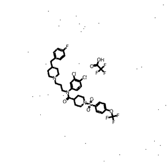 O=C(C1CCN(S(=O)(=O)c2ccc(OC(F)(F)F)cc2)CC1)N(CCCN1CCC(Cc2ccc(F)cc2)CC1)c1ccc(Cl)c(Cl)c1.O=C(O)C(F)(F)F